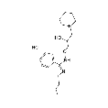 CCCC/N=C(/NOCC(O)CN1CCCCC1)c1cccnc1.Cl